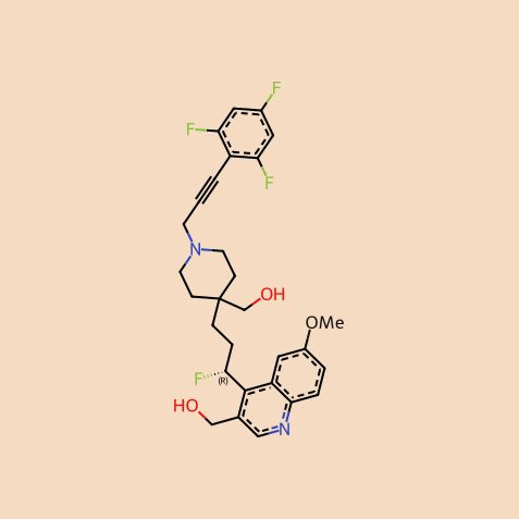 COc1ccc2ncc(CO)c([C@H](F)CCC3(CO)CCN(CC#Cc4c(F)cc(F)cc4F)CC3)c2c1